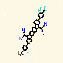 Cc1ccc(-c2ccc3c(c2)C(=C(C#N)C#N)c2cc4cc5c(cc4cc2-3)C(=C(C#N)C#N)c2cc(-c3ccc(C(F)(F)F)c(F)c3)ccc2-5)cc1F